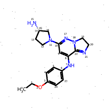 CCOc1ccc(NC2=CC(N3CC[C@H](N)C3)=NN3CCN=C23)cc1